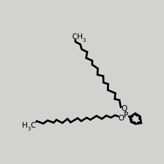 CCCCCCCCCCCCCCCCCCOP(OCCCCCCCCCCCCCCCCCC)c1ccccc1